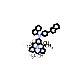 CC1(C)c2cccc3c2N2c4c1cccc4C(C)(C)c1cc(N(c4ccc(-c5ccc6ccccc6c5)cc4)c4cccc5ccccc45)cc(c12)C3(C)C